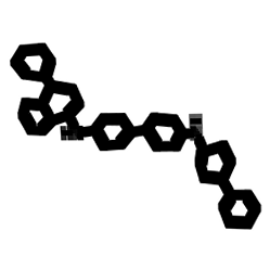 c1ccc(-c2ccc(Nc3ccc(-c4ccc(Nc5ccc(-c6ccccc6)c6ccccc56)cc4)cc3)cc2)cc1